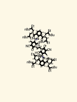 CCCCC(CC)CN(CC(CC)CCCC)C(=O)c1cccc(C(=O)N(CC(CC)CCCC)CC(CC)CCCC)c1/N=N/c1c(C)c(C#N)c(=O)n(CCn2c(O)c(/N=N/c3c(C(=O)N(CC(CC)CCCC)CC(CC)CCCC)cccc3C(=O)N(CC(CC)CCCC)CC(CC)CCCC)c(C)c(C#N)c2=O)c1O